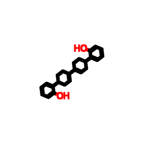 Oc1ccccc1C1CC=C(C2=CCC(c3ccccc3O)CC2)CC1